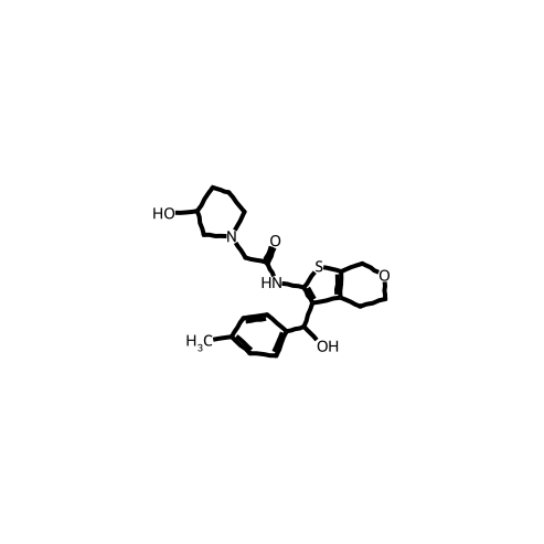 Cc1ccc(C(O)c2c(NC(=O)CN3CCCC(O)C3)sc3c2CCOC3)cc1